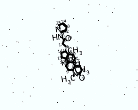 CN1C(=O)CC[C@@]2(C)C1CC[C@H]1[C@@H]3CC[C@H](CCC(=O)Nc4ccccn4)[C@@]3(C)CC[C@@H]12